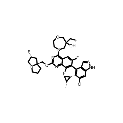 C[C@@H]1C[C@@H]1c1c(Cl)cc2[nH]ncc2c1-c1c(F)cc2c(N3CCOCC(O)(CF)C3)nc(OC[C@@]34CCCN3C[C@H](F)C4)nc2c1F